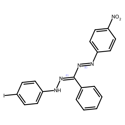 O=[N+]([O-])c1ccc(/N=N/C(=N/Nc2ccc(I)cc2)c2ccccc2)cc1